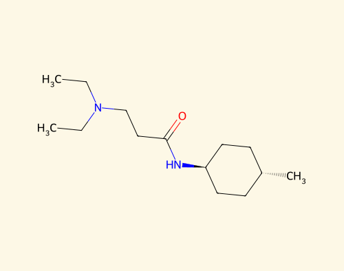 CCN(CC)CCC(=O)N[C@H]1CC[C@H](C)CC1